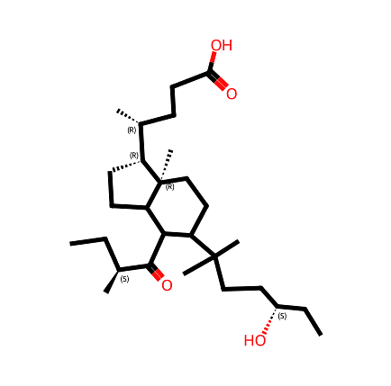 CC[C@H](O)CCC(C)(C)C1CC[C@@]2(C)C(CC[C@@H]2[C@H](C)CCC(=O)O)C1C(=O)[C@@H](C)CC